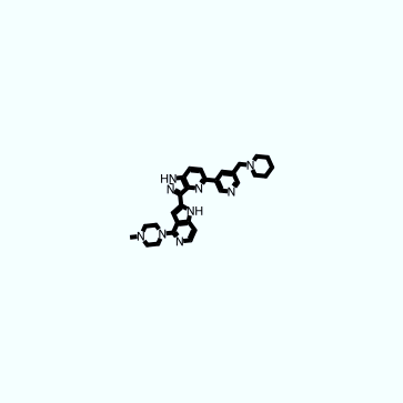 CN1CCN(c2nccc3[nH]c(-c4n[nH]c5ccc(-c6cncc(CN7CCCCC7)c6)nc45)cc23)CC1